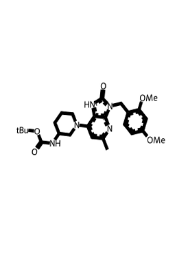 COc1ccc(Cn2c(=O)[nH]c3c(N4CCCC(NC(=O)OC(C)(C)C)C4)cc(C)nc32)c(OC)c1